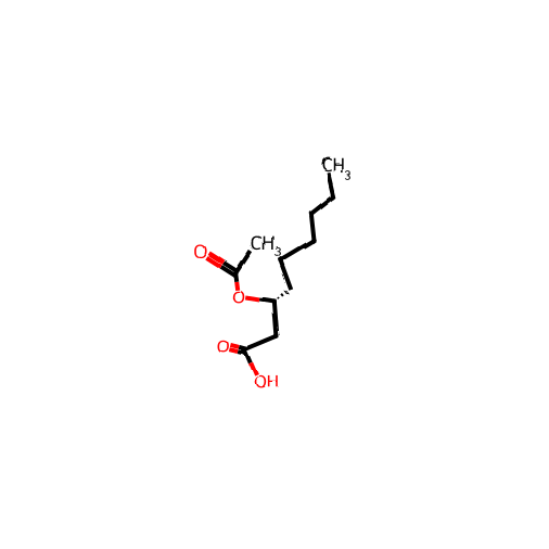 CCCCCC[C@H](CC(=O)O)OC(C)=O